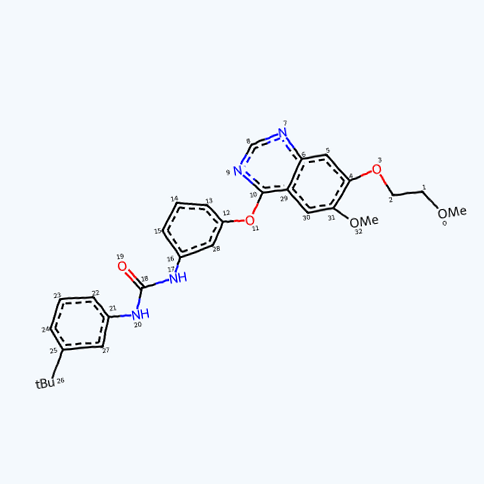 COCCOc1cc2ncnc(Oc3cccc(NC(=O)Nc4cccc(C(C)(C)C)c4)c3)c2cc1OC